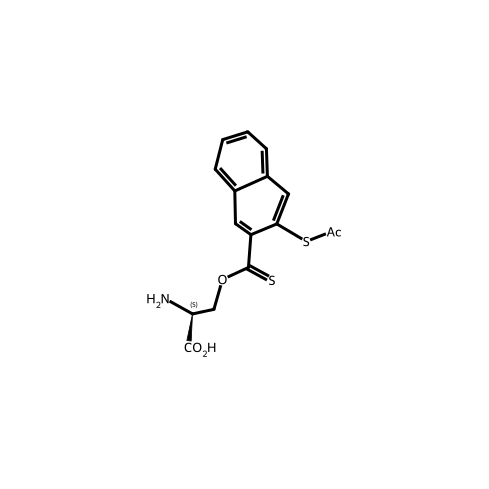 CC(=O)Sc1cc2ccccc2cc1C(=S)OC[C@H](N)C(=O)O